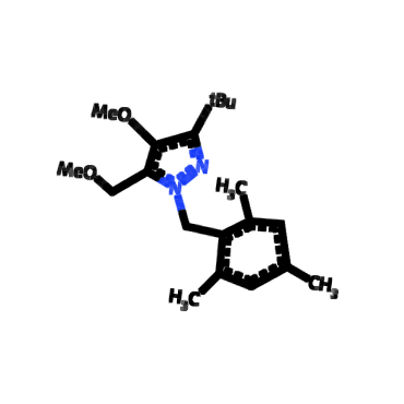 COCc1c(OC)c(C(C)(C)C)nn1Cc1c(C)cc(C)cc1C